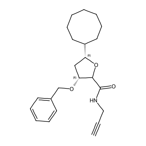 C#CCNC(=O)C1O[C@@H](C2CCCCCCC2)C[C@H]1OCc1ccccc1